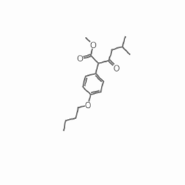 CCCCOc1ccc(C(C(=O)CC(C)C)C(=O)OC)cc1